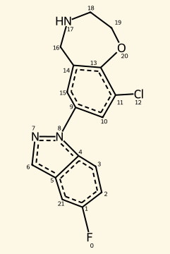 Fc1ccc2c(cnn2-c2cc(Cl)c3c(c2)CNCCO3)c1